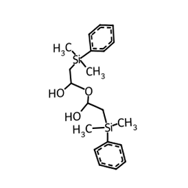 C[Si](C)(CC(O)OC(O)C[Si](C)(C)c1ccccc1)c1ccccc1